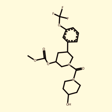 COC(=O)OC1CC(c2cccc(OC(F)(F)F)c2)CN(C(=O)N2CCC(O)CC2)C1